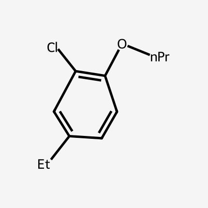 CCCOc1ccc(CC)cc1Cl